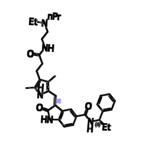 CCCN(CC)CCNC(=O)CCc1c(C)[nH]c(/C=C2\C(=O)Nc3ccc(C(=O)N[C@H](CC)c4ccccc4)cc32)c1C